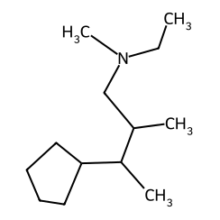 CCN(C)CC(C)C(C)C1CCCC1